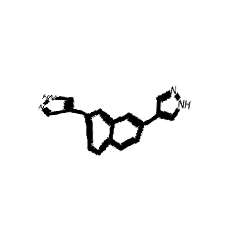 c1cc2ccc(-c3cn[nH]c3)cc2cc1-c1cn[nH]c1